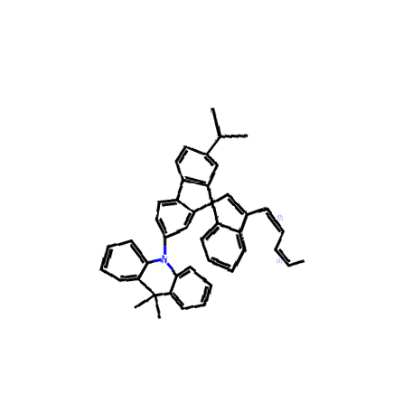 C/C=C\C=C/C1=CC2(c3ccccc31)c1cc(C(C)C)ccc1-c1ccc(N3c4ccccc4C(C)(C)c4ccccc43)cc12